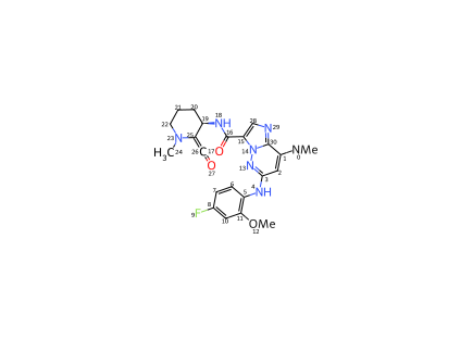 CNc1cc(Nc2ccc(F)cc2OC)nn2c(C(=O)N[C@@H]3CCCN(C)C3=C=O)cnc12